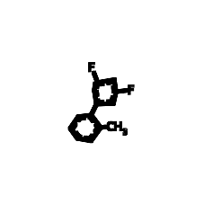 Cc1ccccc1-c1cc(F)cc(F)c1